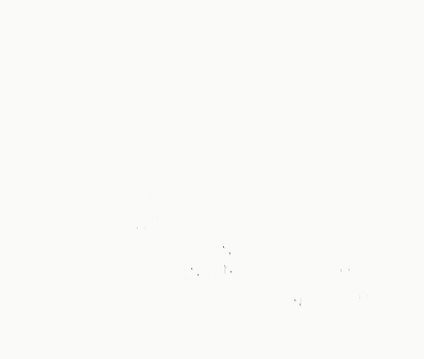 CCCCCCCCCCCCOC(=O)c1ccc(N=Nc2ccc(N(CC)CCC(=O)O)cc2)c([N+](=O)[O-])c1